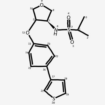 CC(C)S(=O)(=O)N[C@@H]1COCC1Oc1ccc(-c2ccsc2)cc1